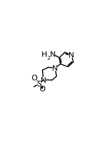 CS(=O)(=O)N1CCN(c2ccncc2N)CC1